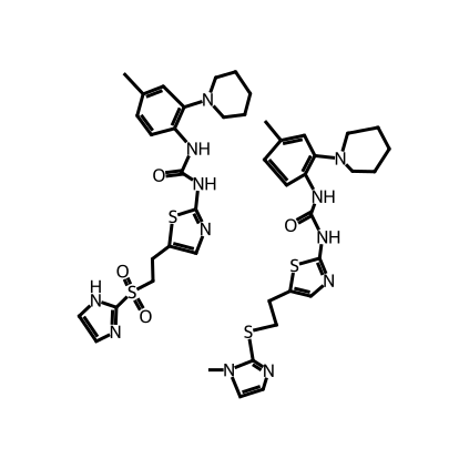 Cc1ccc(NC(=O)Nc2ncc(CCS(=O)(=O)c3ncc[nH]3)s2)c(N2CCCCC2)c1.Cc1ccc(NC(=O)Nc2ncc(CCSc3nccn3C)s2)c(N2CCCCC2)c1